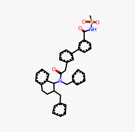 CS(=O)(=O)NC(=O)c1cccc(-c2cccc(CC(=O)N(Cc3ccccc3)C3c4ccccc4CCC3Cc3ccccc3)c2)c1